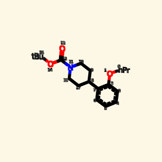 CCCOc1ccccc1C1CCN(C(=O)OC(C)(C)C)CC1